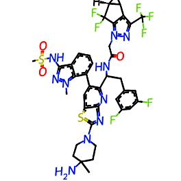 Cn1nc(NS(C)(=O)=O)c2cccc(-c3cc4sc(N5CCC(C)(N)CC5)nc4nc3C(Cc3cc(F)cc(F)c3)NC(=O)Cn3nc(C(F)(F)F)c4c3C(F)(F)[C@@H]3CC43)c21